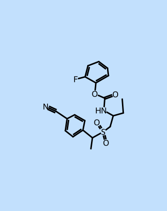 CCC(CS(=O)(=O)C(C)c1ccc(C#N)cc1)NC(=O)Oc1ccccc1F